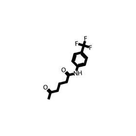 CC(=O)CCCC(=O)Nc1ccc(C(F)(F)F)cc1